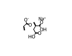 C=C(CC(=O)O)C(=O)O.C=CC(=O)[O-].[Na+]